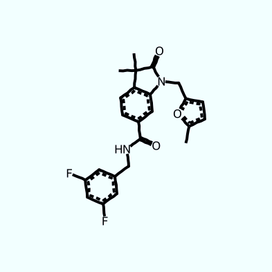 Cc1ccc(CN2C(=O)C(C)(C)c3ccc(C(=O)NCc4cc(F)cc(F)c4)cc32)o1